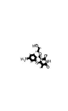 Cc1c(Sc2cccc(N)c2)n(COCCO)c(=O)[nH]c1=O